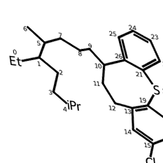 CCC(CCC(C)C)C(C)CCCC1CCc2cc(Cl)ccc2Sc2ccccc21